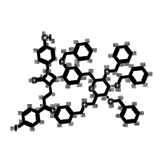 Cc1ccc(N2C(=O)[C@H](CCC(=O)c3ccc(F)cc3)[C@H]2c2ccc(C[C@@H]3OC(COCc4ccccc4)[C@@H](OCc4ccccc4)[C@@H](OCc4ccccc4)C3OCc3ccccc3)cc2OCc2ccccc2)cc1